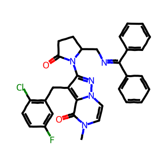 Cn1ccn2nc(N3C(=O)CCC3CN=C(c3ccccc3)c3ccccc3)c(Cc3cc(F)ccc3Cl)c2c1=O